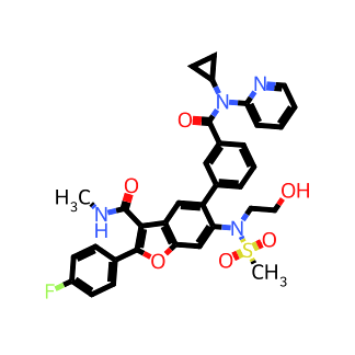 CNC(=O)c1c(-c2ccc(F)cc2)oc2cc(N(CCO)S(C)(=O)=O)c(-c3cccc(C(=O)N(c4ccccn4)C4CC4)c3)cc12